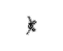 CCCCCCc1cnc2c(ccc3c(-c4ccccc4)c(CCCCCC)cnc32)c1-c1ccccc1